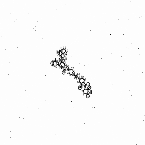 O=C1CCC(N2C(=O)c3ccc(N4CC(N5CCC(N6Cc7cc(NC(=O)c8cnn9cccnc89)c(N8CCOCC8)nc7C6=O)CC5)C4)cc3C2=O)C(=O)N1